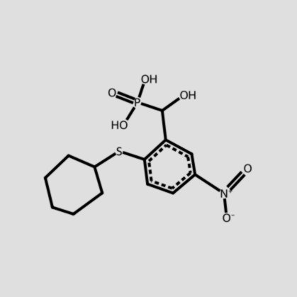 O=[N+]([O-])c1ccc(SC2CCCCC2)c(C(O)P(=O)(O)O)c1